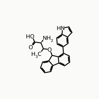 CC(OC1c2ccccc2-c2cccc(-c3ccc4[nH]ccc4c3)c21)[C@H](N)C(=O)O